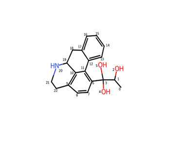 CC(O)C(O)(O)c1ccc2c3c1-c1ccccc1CC3NCC2